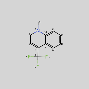 CN1CC=C(C(F)(F)F)c2ccccc21